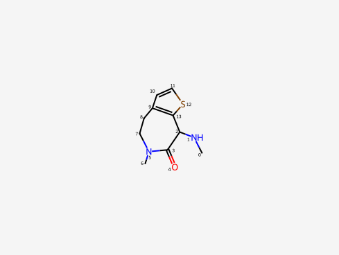 CNC1C(=O)N(C)CCc2ccsc21